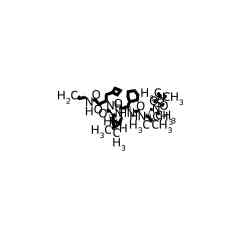 C=CCNC(=O)C(=O)C(CC1CCC1)NC(=O)[C@@H]1[C@@H]2[C@H](CN1C(=O)[C@@H](NC(=O)N[C@H](CN(C)S(=O)(=O)N(C)C)C(C)(C)C)C1CCCCC1)C2(C)C